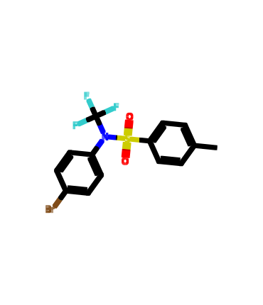 Cc1ccc(S(=O)(=O)N(c2ccc(Br)cc2)C(F)(F)F)cc1